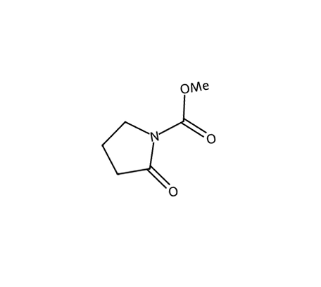 [CH2]OC(=O)N1CCCC1=O